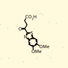 COc1cc2nc(C(=O)CCC(=O)O)sc2cc1OC